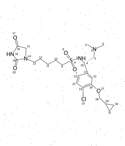 CN(C)C[C@@H](NS(=O)(=O)CCCCCN1CC(=O)NC1=O)c1ccc(Cl)c(OCC2CC2)c1